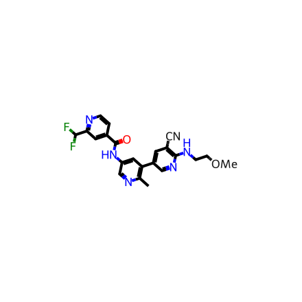 COCCNc1ncc(-c2cc(NC(=O)c3ccnc(C(F)F)c3)cnc2C)cc1C#N